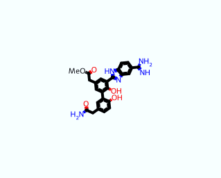 COC(=O)Cc1cc(-c2nc3cc(C(=N)N)ccc3[nH]2)c(O)c(-c2cc(CC(N)=O)ccc2O)c1